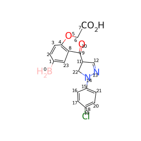 Bc1ccc(OCC(=O)O)c(C(=O)C2C=NN(c3ccc(Cl)cc3)C2)c1